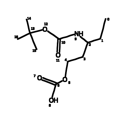 CCC(CCOC(=O)O)NC(=O)OC(C)(C)C